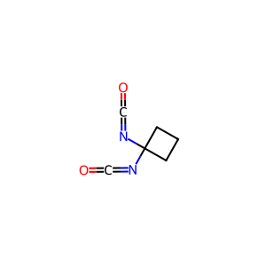 O=C=NC1(N=C=O)CCC1